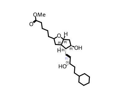 COC(=O)CCCCC1C[C@@H]2[C@@H](/C=C/[C@@H](O)CCC3CCCCC3)[C@H](O)C[C@H]2O1